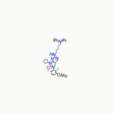 COc1ccc(F)c(N2Cc3cnc(NCCCCCN(C(C)C)C(C)C)nc3N(C3CCCC3)C2=O)c1F